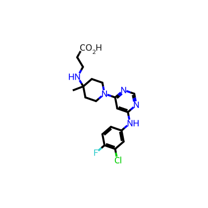 CC1(NCCC(=O)O)CCN(c2cc(Nc3ccc(F)c(Cl)c3)ncn2)CC1